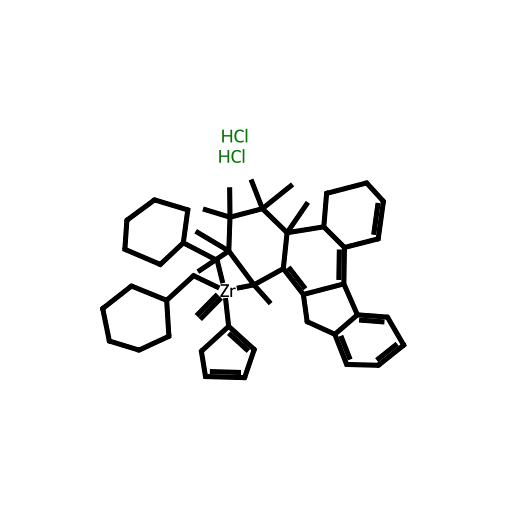 Cl.Cl.[CH2]=[Zr]([CH2]C1CCCCC1)([CH2]C1CCCCC1)([C]1=CC=CC1)[C]1(C)C2=C3Cc4ccccc4C3=C3C=CCCC3C2(C)C(C)(C)C(C)(C)C1(C)C